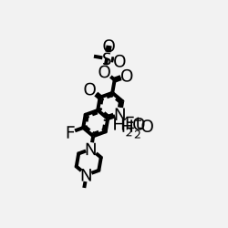 CCn1cc(C(=O)OS(C)(=O)=O)c(=O)c2cc(F)c(N3CCN(C)CC3)cc21.O.O